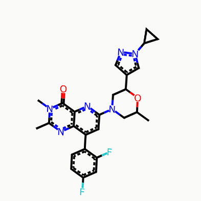 Cc1nc2c(-c3ccc(F)cc3F)cc(N3CC(C)OC(c4cnn(C5CC5)c4)C3)nc2c(=O)n1C